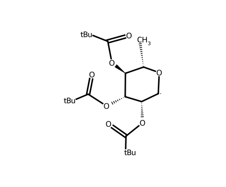 C[C@@H]1O[CH][C@H](OC(=O)C(C)(C)C)[C@H](OC(=O)C(C)(C)C)[C@H]1OC(=O)C(C)(C)C